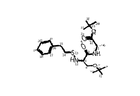 C[C@H](NC(=O)[C@@H](COC(C)(C)C)NSCCc1ccccc1)C(=O)OC(C)(C)C